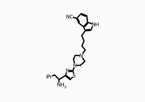 CC(C)CC(N)c1csc(N2CCN(CCCCc3c[nH]c4ccc(C#N)cc34)CC2)n1